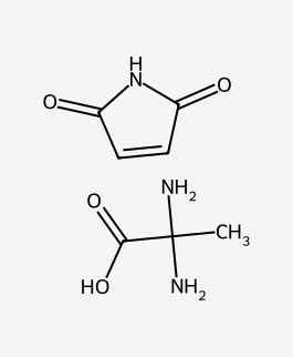 CC(N)(N)C(=O)O.O=C1C=CC(=O)N1